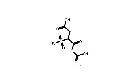 C=C(C)OC(=O)C(CC(=O)O)S(=O)(=O)O